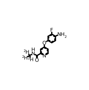 [2H]C([2H])([2H])NC(=O)c1cc(Oc2ccc(N)c(F)c2)ccn1